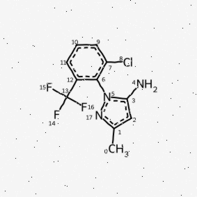 Cc1cc(N)n(-c2c(Cl)cccc2C(F)(F)F)n1